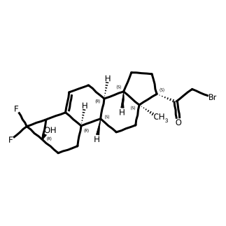 C[C@]12CC[C@H]3[C@@H](CC=C4C5C(F)(F)[C@@]5(O)CC[C@@H]43)[C@@H]1CC[C@@H]2C(=O)CBr